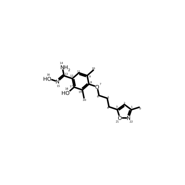 Cc1cc(CCCOc2c(C)cc(/C(N)=N/O)c(O)c2C)on1